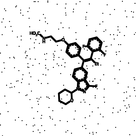 CCC(=C(c1ccc(OCCNC(=O)O)cc1)c1ccc2c(c1)c(F)nn2C1CCCCO1)c1c(F)cccc1F